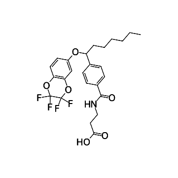 CCCCCCC(Oc1ccc2c(c1)OC(F)(F)C(F)(F)O2)c1ccc(C(=O)NCCC(=O)O)cc1